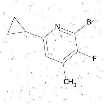 Cc1cc(C2CC2)nc(Br)c1F